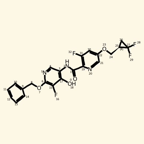 O=C(Nc1cnc(OCc2ccccc2)c(F)c1O)c1ncc(OC[C@H]2CC2(F)F)cc1F